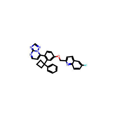 Fc1ccc2nc(COc3ccc(-c4ccnc5ncnn45)c(C4(c5ccccc5)CCC4)c3)ccc2c1